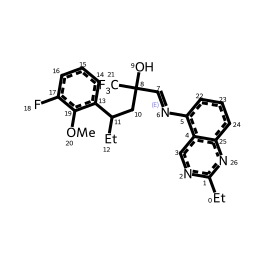 CCc1ncc2c(/N=C/C(O)(CC(CC)c3cccc(F)c3OC)C(F)(F)F)cccc2n1